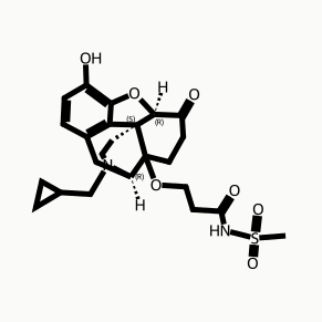 CS(=O)(=O)NC(=O)CCOC12CCC(=O)[C@@H]3Oc4c(O)ccc5c4[C@@]31CCN(CC1CC1)[C@@H]2C5